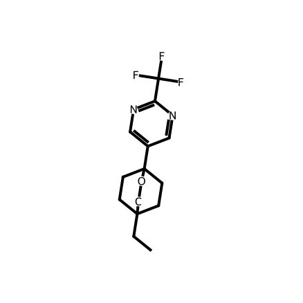 CCC12CCC(c3cnc(C(F)(F)F)nc3)(CC1)OC2